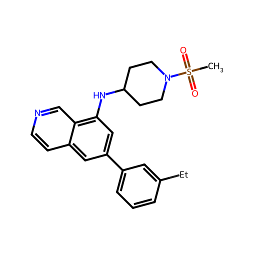 CCc1cccc(-c2cc(NC3CCN(S(C)(=O)=O)CC3)c3cnccc3c2)c1